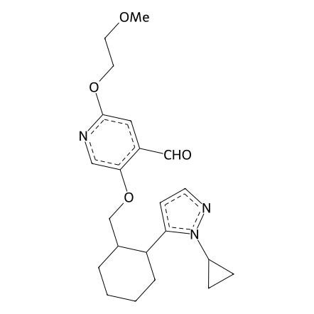 COCCOc1cc(C=O)c(OCC2CCCCC2c2ccnn2C2CC2)cn1